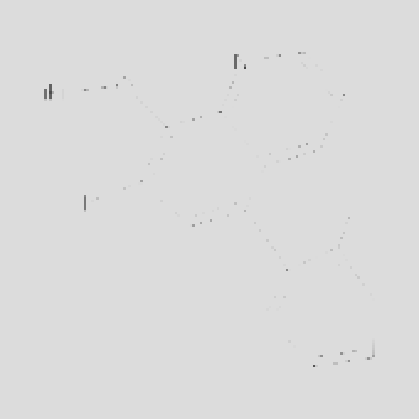 CC(C)Oc1c(I)cc(-c2ccccc2F)c2cccnc12